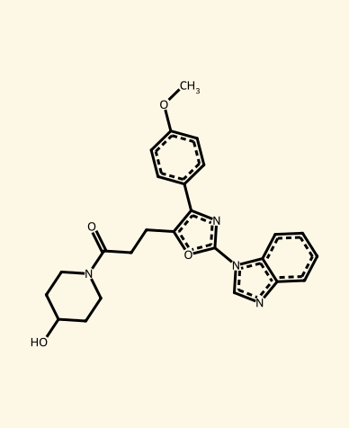 COc1ccc(-c2nc(-n3cnc4ccccc43)oc2CCC(=O)N2CCC(O)CC2)cc1